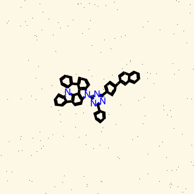 c1ccc(-c2nc(-c3ccc(-c4ccc5ccccc5c4)cc3)nc(-n3c4cccc5c6ccccc6n6c7ccccc7c7ccc3c(c54)c76)n2)cc1